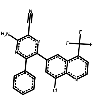 N#Cc1nc(-c2cc(Cl)c3nccc(C(F)(F)F)c3c2)c(-c2ccccc2)nc1N